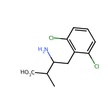 CC(C(=O)O)C(N)Cc1c(Cl)cccc1Cl